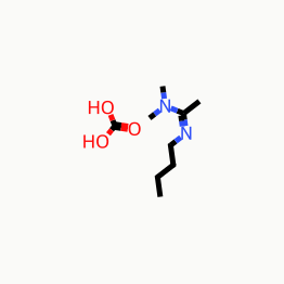 CCCCN=C(C)N(C)C.O=C(O)O